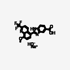 COc1ccc(-c2nc3cc(C(=O)O)ccc3[nH]2)c2ccc(C(F)(F)F)nc12.[Na+].[OH-]